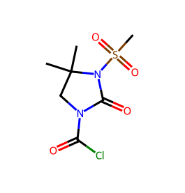 CC1(C)CN(C(=O)Cl)C(=O)N1S(C)(=O)=O